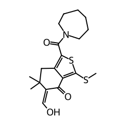 CSc1sc(C(=O)N2CCCCCC2)c2c1C(=O)C(=CO)C(C)(C)C2